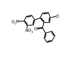 O=C(c1ccccc1)c1cc(Cl)ccc1-c1ccc([N+](=O)[O-])c([N+](=O)[O-])c1